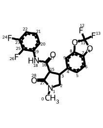 CN1CC(c2ccc3c(c2)OC(F)(F)O3)C(C(=O)Nc2cccc(F)c2F)C1=O